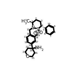 C[C@H]1CC[C@H](c2ccccc2)S(=O)(=O)N1Cc1ccc(C2(N)CCOCC2)cc1F